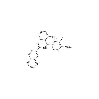 COc1ccc(C(NC(=O)c2ccc3cccnc3c2)c2ncccc2C(F)(F)F)cc1F